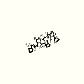 CC(C)C(NC(=O)[C@H](NC(=O)c1cnccn1)C(C)C)C(=O)N1C[C@@H]2CCC[C@@H]2C1C(=O)NC(CC(F)F)C(=O)C(=O)N[C@@H](C)c1ccccc1